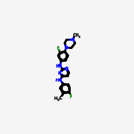 Cc1cc(Nc2ccnc(Nc3ccc(N4CCN(C)CC4)c(F)c3)n2)ccc1F